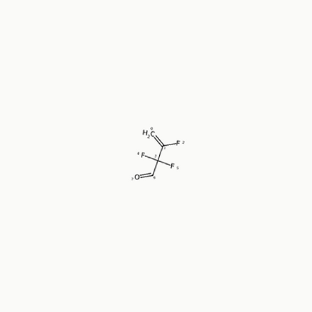 C=C(F)C(F)(F)C=O